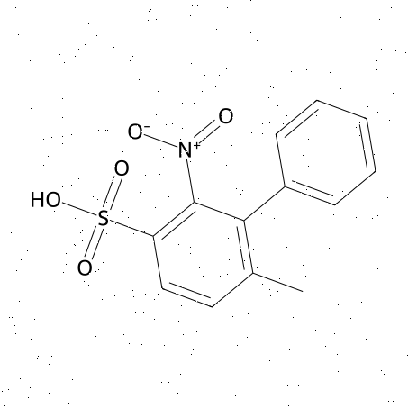 Cc1ccc(S(=O)(=O)O)c([N+](=O)[O-])c1-c1ccccc1